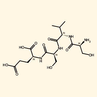 CC(C)[C@H](NC(=O)[C@@H](N)CO)C(=O)N[C@@H](CO)C(=O)N[C@@H](CCC(=O)O)C(=O)O